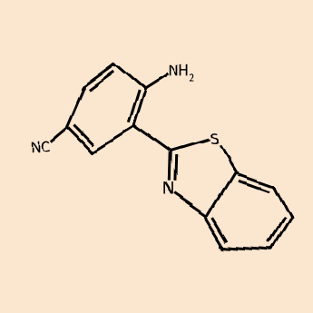 N#Cc1ccc(N)c(-c2nc3ccccc3s2)c1